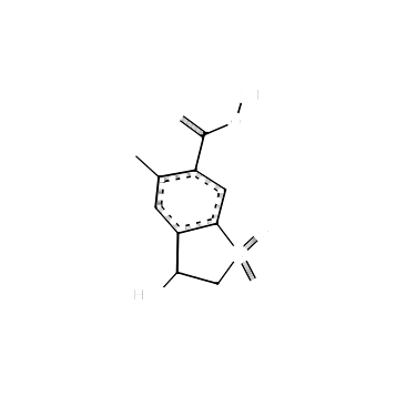 COC(=O)c1cc2c(cc1F)C(C)CS2(=O)=O